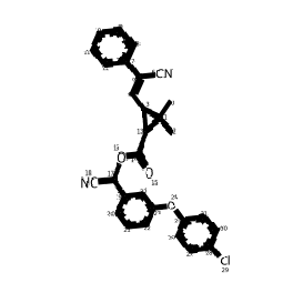 CC1(C)C(/C=C(\C#N)c2ccccc2)C1C(=O)OC(C#N)c1cccc(Oc2ccc(Cl)cc2)c1